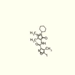 Cc1c(C(=O)Nc2c(C)n(C)n(C3CCCCC3)c2=O)noc1I